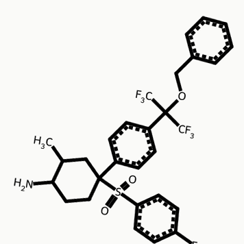 CC1CC(c2ccc(C(OCc3ccccc3)(C(F)(F)F)C(F)(F)F)cc2)(S(=O)(=O)c2ccc(F)cc2)CCC1N